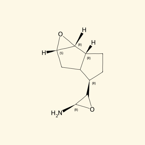 N[C@@H]1OC1[C@@H]1CC[C@@H]2C1C[C@@H]1O[C@@H]12